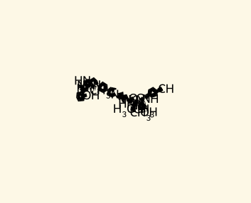 C#Cc1ccc(CNC(=O)[C@@H]2C[C@@H](O)CN2C(=O)[C@@H](NC(=O)N2CC3(CC(N4CCC([C@H]5CC[C@@H](N6CCc7[nH]c8nnc(-c9ccccc9O)cc8c7[C@H]6C)CC5)CC4)C3)C2)C(C)(C)C)cc1